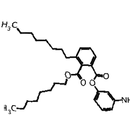 CCCCCCCCOC(=O)c1c(CCCCCCCC)cccc1C(=O)Oc1cccc(N)c1